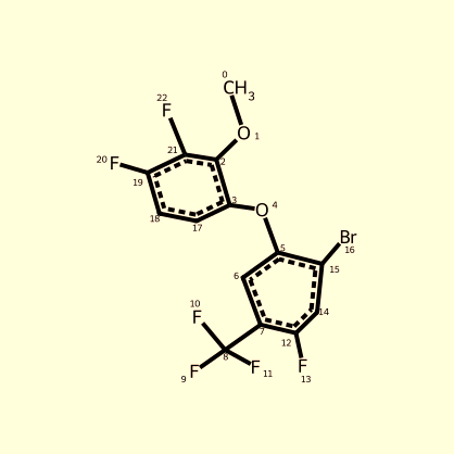 COc1c(Oc2cc(C(F)(F)F)c(F)cc2Br)ccc(F)c1F